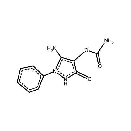 NC(=O)Oc1c(N)n(-c2ccccc2)[nH]c1=O